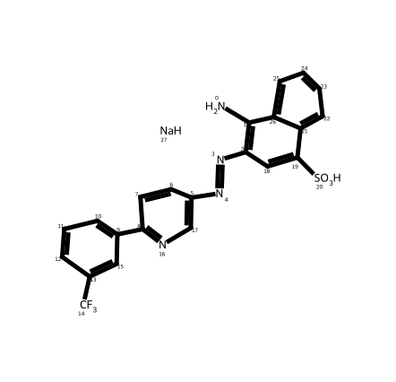 Nc1c(N=Nc2ccc(-c3cccc(C(F)(F)F)c3)nc2)cc(S(=O)(=O)O)c2ccccc12.[NaH]